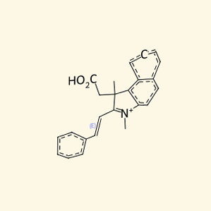 C[N+]1=C(/C=C/c2ccccc2)C(C)(CC(=O)O)c2c1ccc1ccccc21